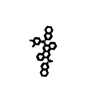 Cc1ccc(N(c2ccc3c(c2)CCCC3)c2cc3c4ccccc4c(N(C)c4ccc5c(c4)CCCC5)cc3c3ccccc23)cc1C